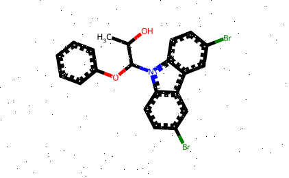 CC(O)C(Oc1ccccc1)n1c2ccc(Br)cc2c2cc(Br)ccc21